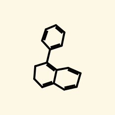 C1=c2ccccc2=C(c2ccccc2)CC1